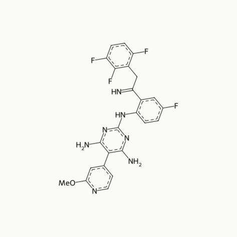 COc1cc(-c2c(N)nc(Nc3ccc(F)cc3C(=N)Cc3c(F)ccc(F)c3F)nc2N)ccn1